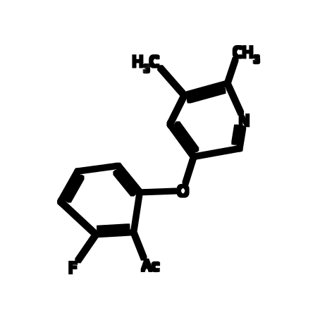 CC(=O)c1c(F)cccc1Oc1cnc(C)c(C)c1